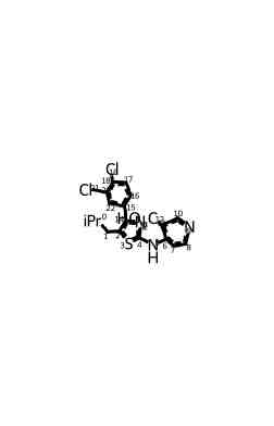 CC(C)Cc1sc(Nc2ccncc2C(=O)O)nc1-c1ccc(Cl)c(Cl)c1